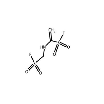 C=C(NCS(=O)(=O)F)S(=O)(=O)F